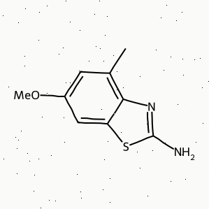 COc1cc(C)c2nc(N)sc2c1